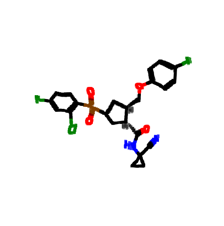 N#CC1(NC(=O)[C@@H]2CC(S(=O)(=O)c3ccc(F)cc3Cl)C[C@H]2COc2ccc(F)cc2)CC1